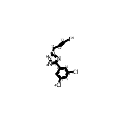 Clc1cc(Cl)cc(-c2nnn(CC#CI)n2)c1